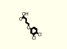 O=C(O)CCCOc1ccc(Cl)c(Cl)c1